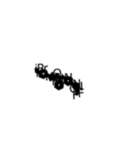 CC(C)CN1CCC(N2CC(F)(C(=O)N(Cc3ccc(-c4nnc(C(F)F)o4)cn3)c3ccccc3)C2)CC1